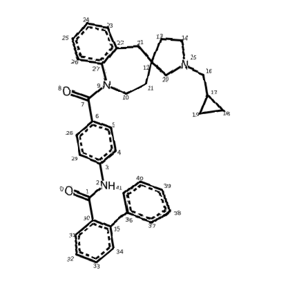 O=C(Nc1ccc(C(=O)N2CCC3(CCN(CC4CC4)C3)Cc3ccccc32)cc1)c1ccccc1-c1ccccc1